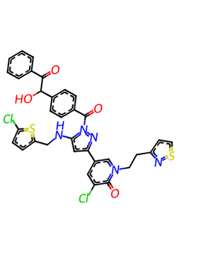 O=C(c1ccccc1)C(O)c1ccc(C(=O)n2nc(-c3cc(Cl)c(=O)n(CCc4ccsn4)c3)cc2NCc2ccc(Cl)s2)cc1